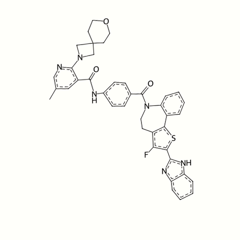 Cc1cnc(N2CC3(CCOCC3)C2)c(C(=O)Nc2ccc(C(=O)N3CCc4c(sc(-c5nc6ccccc6[nH]5)c4F)-c4ccccc43)cc2)c1